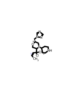 C/C=C\C(C)(Cl)C1CO[C@@H](Cn2cncn2)CN1C1CCNCC1